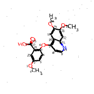 COc1ccc(Oc2ccnc3cc(OC)c(OC)cc23)c(C(=O)O)c1